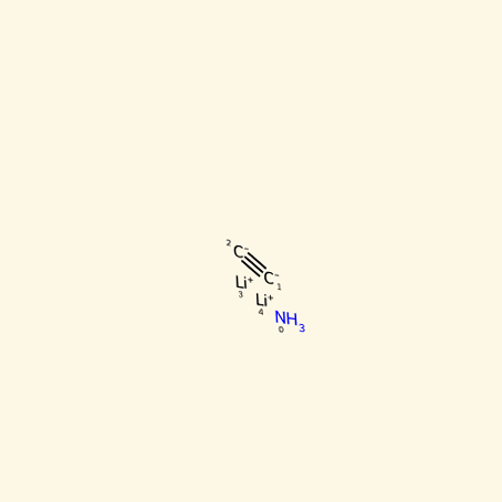 N.[C-]#[C-].[Li+].[Li+]